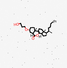 CC(C)CCC[C@@H](C)[C@H]1CC[C@H]2C3=C(CC[C@]12C)[C@@]1(C)CC[C@H](OCCCO)C[C@@H]1C(=O)O3